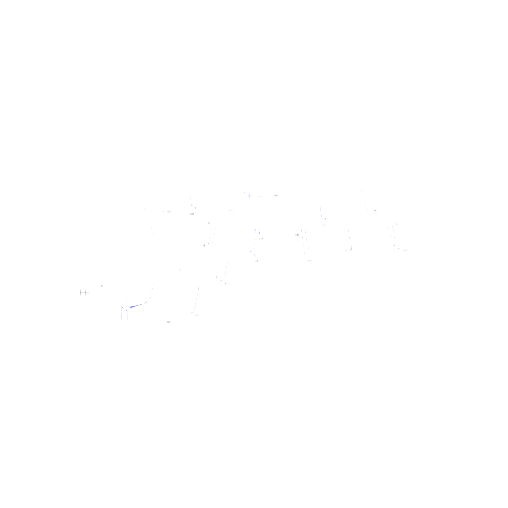 O=C(O)N[C@H]1CC[C@H](Nc2cc(NC3CC3)c3ncc(C(=O)Nc4ccncc4F)n3n2)CC1